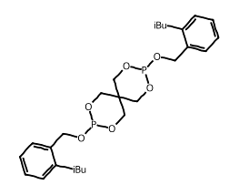 CCC(C)c1ccccc1COP1OCC2(CO1)COP(OCc1ccccc1C(C)CC)OC2